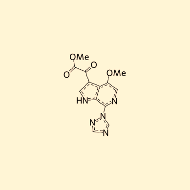 COC(=O)C(=O)c1c[nH]c2c(-n3cncn3)ncc(OC)c12